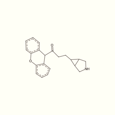 O=C(CCC1C2CNCC12)C1c2ccccc2Oc2ccccc21